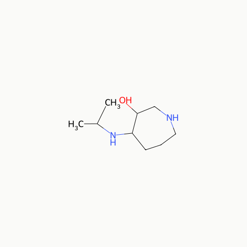 CC(C)NC1CCCNCC1O